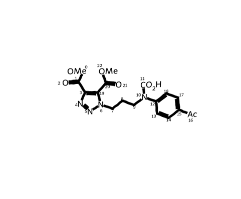 COC(=O)c1nnn(CCCN(C(=O)O)c2ccc(C(C)=O)cc2)c1C(=O)OC